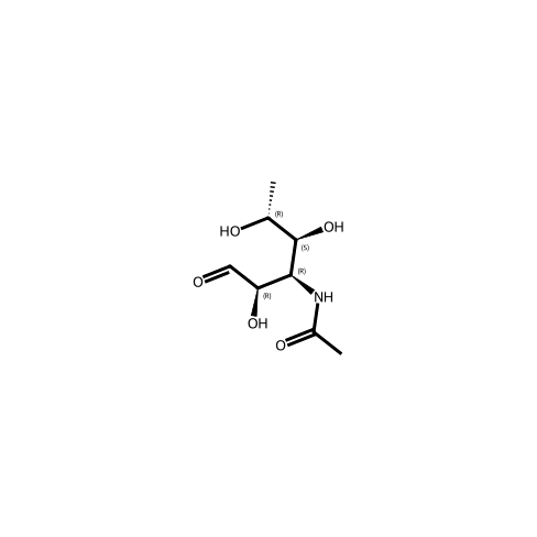 CC(=O)N[C@H]([C@H](O)[C@@H](C)O)[C@@H](O)C=O